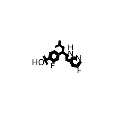 CC(C)CC(c1ccc(C(C)(C)O)c(F)c1)c1cc2cc(F)cnc2[nH]1